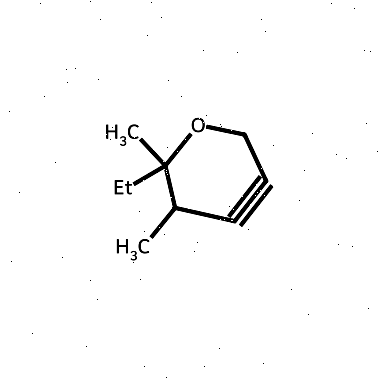 CCC1(C)OCC#CC1C